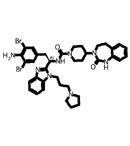 Nc1c(Br)cc(C[C@@H](NC(=O)N2CCC(N3CCc4ccccc4NC3=O)CC2)c2nc3ccccc3n2CCCN2CCCC2)cc1Br